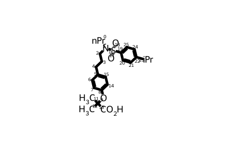 CCCN(CCCc1ccc(OC(C)(C)C(=O)O)cc1)S(=O)(=O)c1ccc(C(C)C)cc1